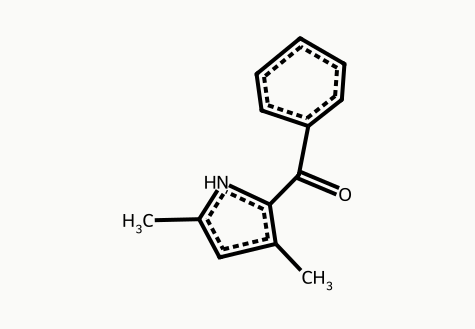 Cc1cc(C)c(C(=O)c2ccccc2)[nH]1